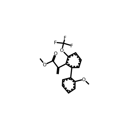 C=C(C(=O)OC)c1c(OC(F)(F)F)cccc1-c1ccccc1OC